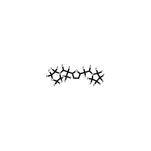 FC(N1C(F)(F)C(F)(F)C(F)(F)C1(F)F)C(F)(F)C1CCC(C(F)(C(F)N2C(F)(F)C(F)(F)OC(F)(F)C2(F)F)C(F)(F)F)O1